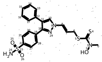 CN(O)C(=S)SCC=Cn1cc(-c2ccccc2)c(-c2ccc(S(N)(=O)=O)cc2)n1